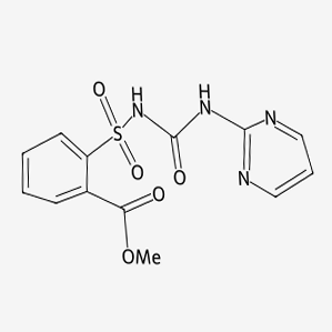 COC(=O)c1ccccc1S(=O)(=O)NC(=O)Nc1ncccn1